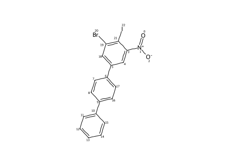 O=[N+]([O-])c1cc(-c2ccc(-c3ccccc3)cc2)cc(Br)c1I